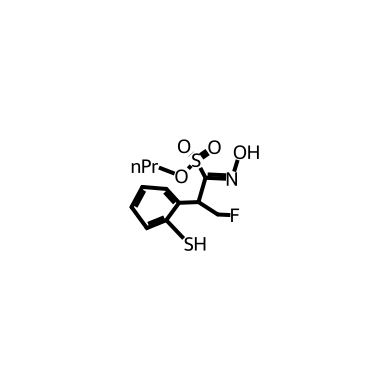 CCCOS(=O)(=O)C(=NO)C(CF)c1ccccc1S